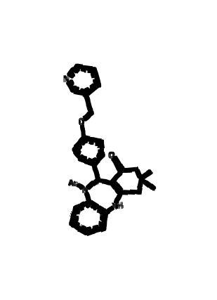 CC(=O)N1c2ccccc2NC2=C(C(=O)CC(C)(C)C2)C1c1ccc(OCc2cccnc2)cc1